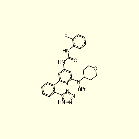 CCCN(c1cc(NC(=O)Nc2ccccc2F)cc(-c2ccccc2-c2nnn[nH]2)n1)C1CCOCC1